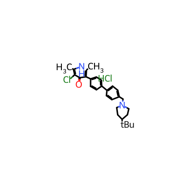 Cc1[nH]c(C)c(-c2ccc(-c3ccc(CN4CCC(C(C)(C)C)CC4)cc3)cc2)c(=O)c1Cl.Cl